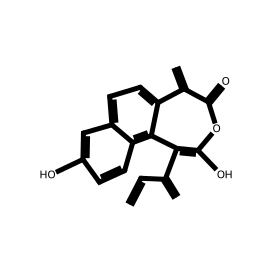 C=CC(=C)C1=C(O)OC(=O)C(=C)c2ccc3cc(O)ccc3c21